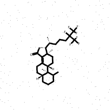 CC1CCC[C@@H]2CCC3=C4C(=O)C[C@H]([C@H](C)CCCC(F)(C(F)(F)F)C(F)(F)F)[C@@]4(C)CC[C@@H]3[C@@]12C